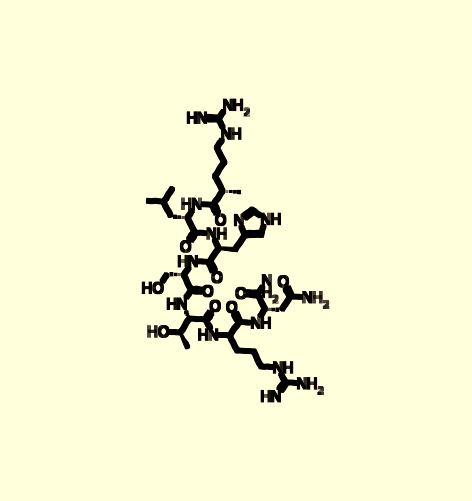 CC(C)C[C@H](NC(=O)[C@@H](C)CCCNC(=N)N)C(=O)N[C@@H](Cc1c[nH]cn1)C(=O)N[C@@H](CO)C(=O)N[C@H](C(=O)NC(CCCNC(=N)N)C(=O)N[C@@H](CC(N)=O)C(N)=O)[C@@H](C)O